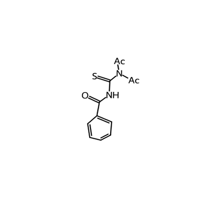 CC(=O)N(C(C)=O)C(=S)NC(=O)c1ccccc1